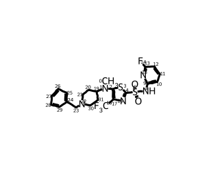 CN(c1sc(S(=O)(=O)Nc2cccc(F)n2)nc1C(F)(F)F)C1CCN(Cc2ccccc2)CC1